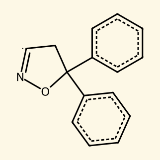 [C]1=NOC(c2ccccc2)(c2ccccc2)C1